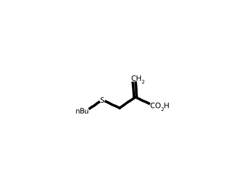 C=C(CSCCCC)C(=O)O